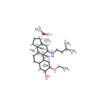 CCOC1C[C@@]2(C)C(CC[C@H]3[C@@H]4CC[C@H](C(C)=O)[C@@]4(C)CC(NCCC(C)C)[C@@H]32)CC1O